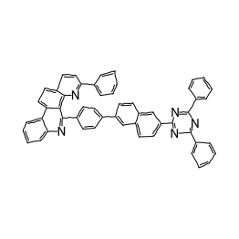 c1ccc(-c2ccc3ccc4c5ccccc5nc(-c5ccc(-c6ccc7cc(-c8nc(-c9ccccc9)nc(-c9ccccc9)n8)ccc7c6)cc5)c4c3n2)cc1